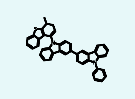 CC1CC=C(n2c3ccccc3c3cc(-c4ccc5c(c4)c4ccccc4n5-c4ccccc4)ccc32)c2c1sc1ccccc21